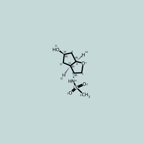 CS(=O)(=O)N[C@H]1CO[C@@H]2C[C@H](O)C[C@H]12